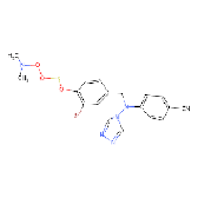 CN(C)OOSOc1ccc(CN(c2ccc(C#N)cc2)n2cnnc2)cc1Br